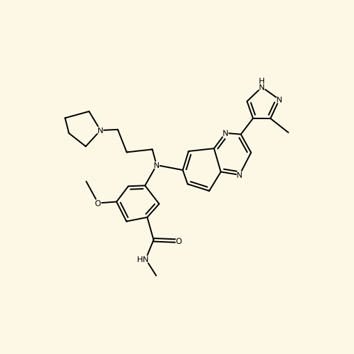 CNC(=O)c1cc(OC)cc(N(CCCN2CCCC2)c2ccc3ncc(-c4c[nH]nc4C)nc3c2)c1